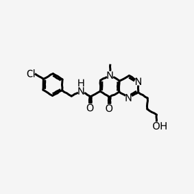 Cn1cc(C(=O)NCc2ccc(Cl)cc2)c(=O)c2nc(CCCO)ncc21